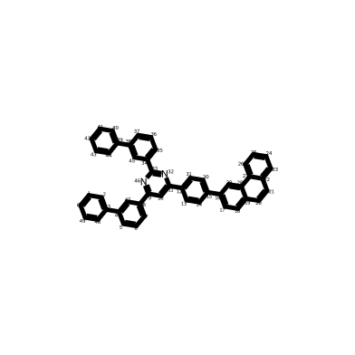 c1ccc(-c2cccc(-c3cc(-c4ccc(-c5ccc6ccc7ccccc7c6c5)cc4)nc(-c4cccc(-c5ccccc5)c4)n3)c2)cc1